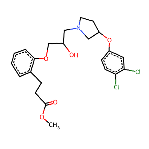 COC(=O)CCc1ccccc1OCC(O)CN1CCC(Oc2ccc(Cl)c(Cl)c2)C1